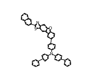 c1ccc(-c2ccc(N(c3ccc(-c4ccccc4)cc3)c3ccc(-c4ccc5oc6cc7nc(-c8ccc9ccccc9c8)sc7cc6c5c4)cc3)cc2)cc1